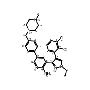 CCn1cc(-c2cccc(Cl)c2Cl)c(-c2cc(-c3ccc(CN4CCN(C)CC4)cc3)cnc2N)n1